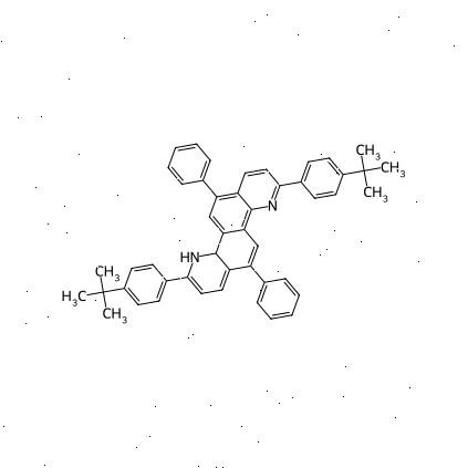 CC(C)(C)c1ccc(C2=CC=C3C(c4ccccc4)=Cc4c(cc(-c5ccccc5)c5ccc(-c6ccc(C(C)(C)C)cc6)nc45)C3N2)cc1